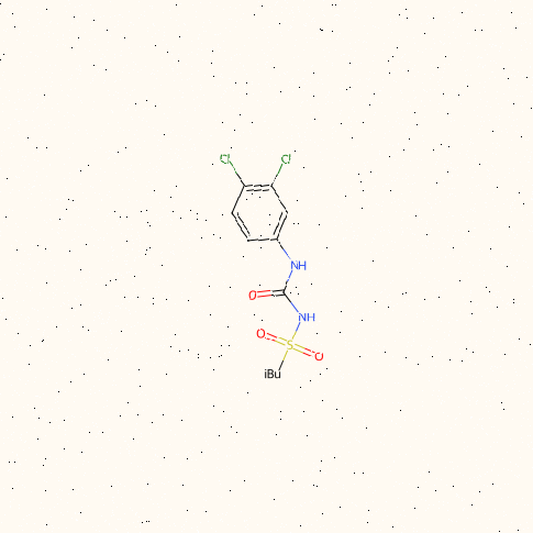 CCC(C)S(=O)(=O)NC(=O)Nc1ccc(Cl)c(Cl)c1